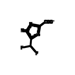 O=C([O-])c1ncc(C(F)F)s1.[Na+]